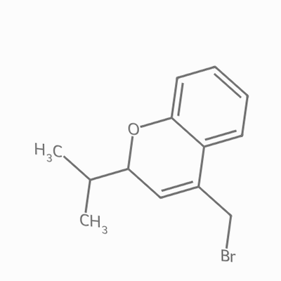 CC(C)C1C=C(CBr)c2ccccc2O1